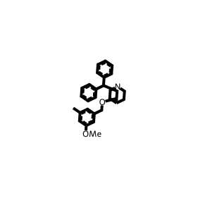 COc1cc(C)cc(COC2C3CCN(CC3)C2C(c2ccccc2)c2ccccc2)c1